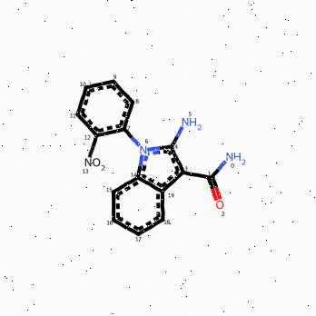 NC(=O)c1c(N)n(-c2ccccc2[N+](=O)[O-])c2ccccc12